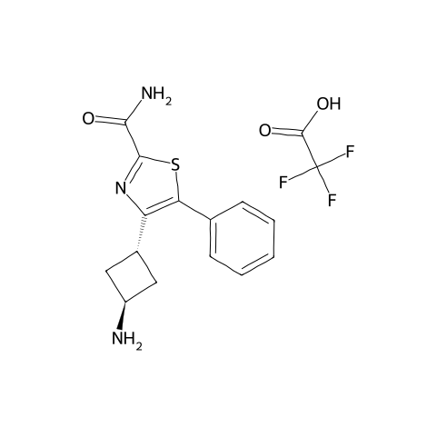 NC(=O)c1nc([C@H]2C[C@H](N)C2)c(-c2ccccc2)s1.O=C(O)C(F)(F)F